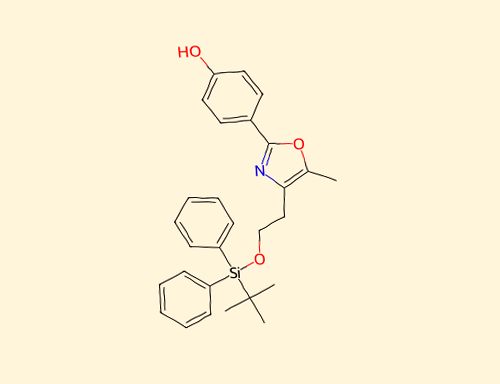 Cc1oc(-c2ccc(O)cc2)nc1CCO[Si](c1ccccc1)(c1ccccc1)C(C)(C)C